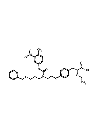 CCOC(Cc1ccc(OCCN(CCCOCc2ccccc2)C(=O)Oc2ccc(C)c([N+](=O)[O-])c2)cc1)C(=O)O